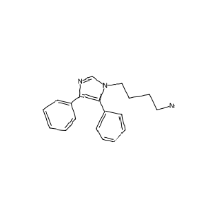 [N]CCCCn1cnc(-c2ccccc2)c1-c1ccccc1